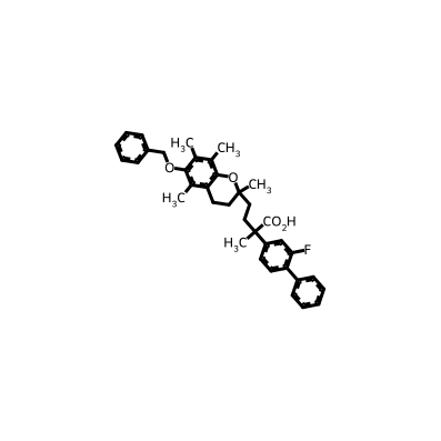 Cc1c(C)c2c(c(C)c1OCc1ccccc1)CCC(C)(CCC(C)(C(=O)O)c1ccc(-c3ccccc3)c(F)c1)O2